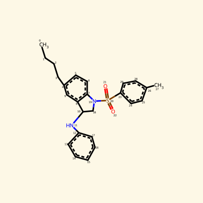 CCCCc1ccc2c(c1)C(Nc1ccccc1)CN2S(=O)(=O)c1ccc(C)cc1